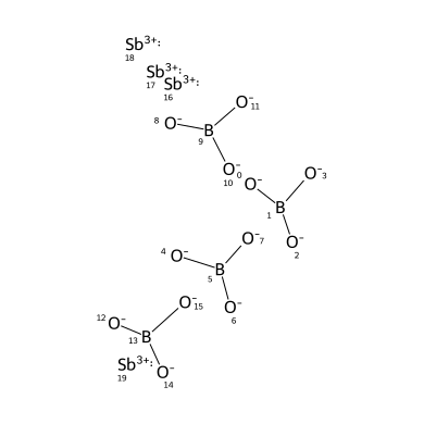 [O-]B([O-])[O-].[O-]B([O-])[O-].[O-]B([O-])[O-].[O-]B([O-])[O-].[Sb+3].[Sb+3].[Sb+3].[Sb+3]